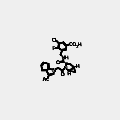 CC(=O)c1cn(CC(=O)N2[C@@H]3C[C@@H]3C[C@H]2C(=O)NCc2cc(C(=O)O)cc(Cl)c2F)c2ccccc12